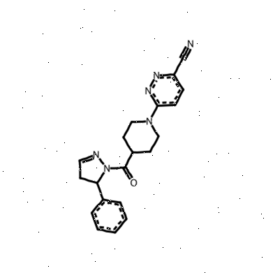 N#Cc1ccc(N2CCC(C(=O)N3N=CCC3c3ccccc3)CC2)nn1